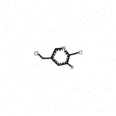 Fc1cc(CCl)cnc1Cl